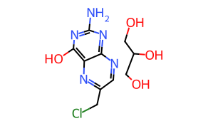 Nc1nc(O)c2nc(CCl)cnc2n1.OCC(O)CO